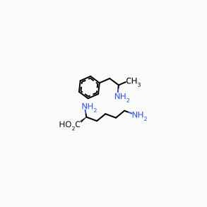 CC(N)Cc1ccccc1.NCCCC[C@H](N)C(=O)O